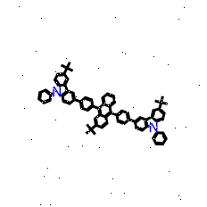 CC(C)(C)c1ccc2c(-c3ccc(-c4ccc5c(c4)c4cc(C(C)(C)C)ccc4n5-c4ccccc4)cc3)c3ccccc3c(-c3ccc(-c4ccc5c(c4)c4cc(C(C)(C)C)ccc4n5-c4ccccc4)cc3)c2c1